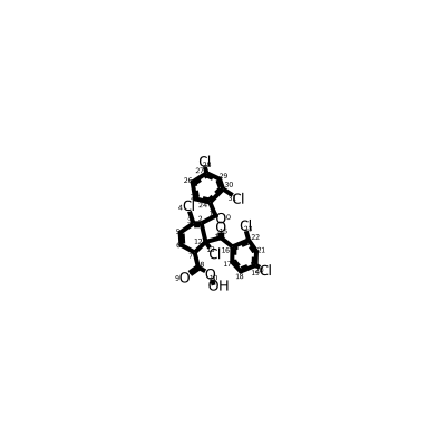 O=C(C1=C(Cl)C=CC(C(=O)OO)C1(Cl)C(=O)c1ccc(Cl)cc1Cl)c1ccc(Cl)cc1Cl